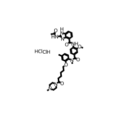 COc1cc(C(=O)N(C)c2ccc(C)cc2OCCCCCC(=O)N2CCN(C)CC2)ccc1NC(=O)c1cccc2[nH]c(NC(C)=O)nc12.Cl.Cl